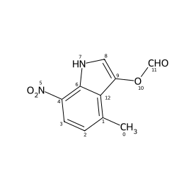 Cc1ccc([N+](=O)[O-])c2[nH]cc(OC=O)c12